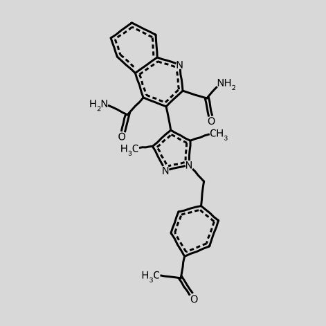 CC(=O)c1ccc(Cn2nc(C)c(-c3c(C(N)=O)nc4ccccc4c3C(N)=O)c2C)cc1